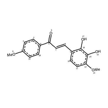 COc1ccc(C(=O)C=Cc2ccc(OC)c(O)c2O)cc1